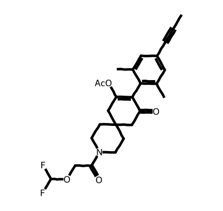 CC#Cc1cc(C)c(C2=C(OC(C)=O)CC3(CCN(C(=O)COC(F)F)CC3)CC2=O)c(C)c1